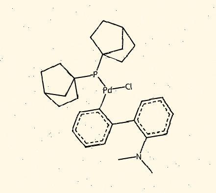 CN(C)c1ccccc1-c1cccc[c]1[Pd]([Cl])[P](C12CCC(CC1)C2)C12CCC(CC1)C2